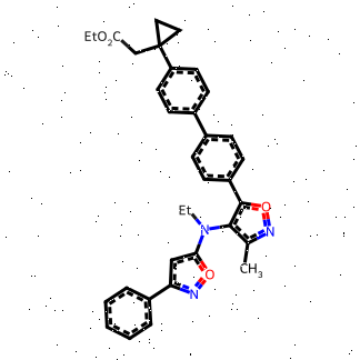 CCOC(=O)CC1(c2ccc(-c3ccc(-c4onc(C)c4N(CC)c4cc(-c5ccccc5)no4)cc3)cc2)CC1